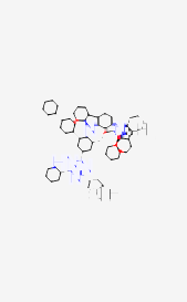 C/C=C\C(=C/C)C1=NC(c2ccccc2)NC(c2cc(C/C=C\C(=C/C)c3ccccc3)c(-n3c4ccccc4c4ccc(-n5c6c(c7ccccc75)CCC=C6)cc43)c(-c3ccc(-c4ccccc4)cc3)c2)=N1